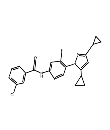 O=C(Nc1ccc(-n2nc(C3CC3)cc2C2CC2)c(F)c1)c1ccnc(Cl)c1